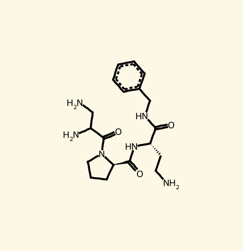 NCC[C@H](NC(=O)[C@H]1CCCN1C(=O)C(N)CN)C(=O)NCc1ccccc1